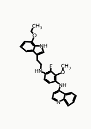 CCOc1cccc2c(CCNc3ccc(Nc4ccnc5ccccc45)c(OC)c3F)c[nH]c12